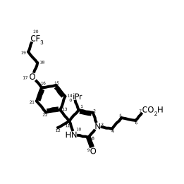 CC(C)C1=CN(CCCC(=O)O)C(=O)NC1(C)c1ccc(OCCC(F)(F)F)cc1